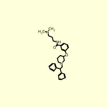 CN(C)CCCNC(=O)c1cccc(OC2CCCN(CC(c3ccccc3)c3ccccc3)C2)c1